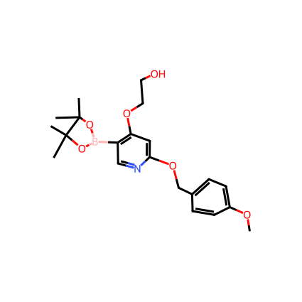 COc1ccc(COc2cc(OCCO)c(B3OC(C)(C)C(C)(C)O3)cn2)cc1